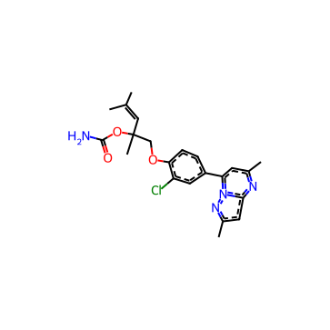 CC(C)=CC(C)(COc1ccc(-c2cc(C)nc3cc(C)nn23)cc1Cl)OC(N)=O